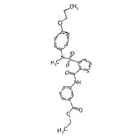 CCCOc1ccc(N(C)S(=O)(=O)c2ccsc2C(=O)Nc2cccc(C(=O)OCC)c2)cc1